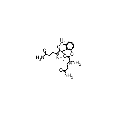 Cc1cccc(OC(=O)[C@@H](N)CCC(N)=O)c1OC(=O)[C@@H](N)CCC(N)=O